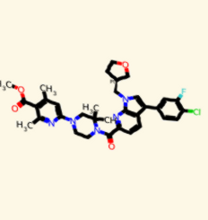 COC(=O)c1c(C)cc(N2CCN(C(=O)c3ccc4c(-c5ccc(Cl)c(F)c5)cn(C[C@H]5CCOC5)c4n3)C(C)(C)C2)nc1C